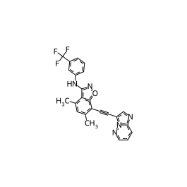 Cc1cc(C)c2c(Nc3cccc(C(F)(F)F)c3)noc2c1C#Cc1cnc2cccnn12